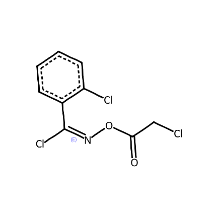 O=C(CCl)O/N=C(/Cl)c1ccccc1Cl